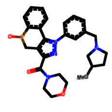 COC1CCN(Cc2cccc(-n3nc(C(=O)N4CCOCC4)c4c3-c3ccccc3[S+]([O-])C4)c2)C1